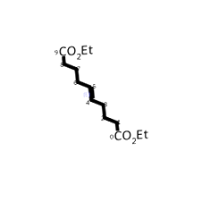 CCOC(=O)CCC/C=C/CCCC(=O)OCC